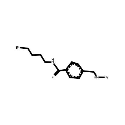 CC(C)CCCCNC(=O)c1ccc(CNC(C)C)cc1